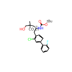 CCOC(=O)[C@](C)(CO)C[C@H](Cc1ccc(-c2ccccc2F)cc1Cl)NC(=O)OC(C)(C)C